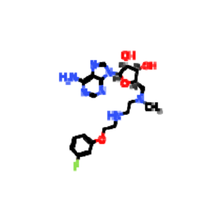 CN(CCNCCOc1cccc(F)c1)C[C@H]1O[C@@H](n2cnc3c(N)ncnc32)[C@H](O)[C@@H]1O